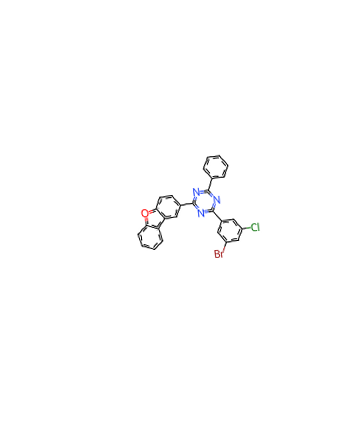 Clc1cc(Br)cc(-c2nc(-c3ccccc3)nc(-c3ccc4oc5ccccc5c4c3)n2)c1